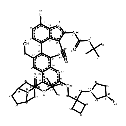 CC(C)(C)OC(=O)Nc1sc2c(F)ccc(-c3c(CO)cc4c(N5CC6CCC(C5)N6C(=O)OC(C)(C)C)nc(OCC5(CN6CC[C@@H](F)C6)CCC5)nc4c3F)c2c1C#N